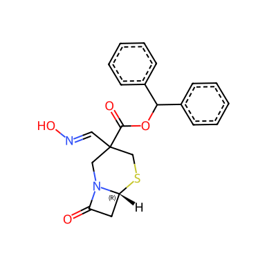 O=C1C[C@H]2SCC(C=NO)(C(=O)OC(c3ccccc3)c3ccccc3)CN12